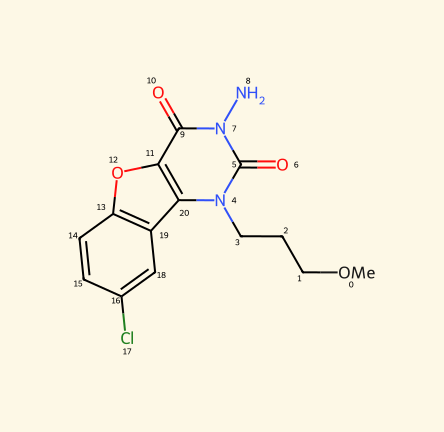 COCCCn1c(=O)n(N)c(=O)c2oc3ccc(Cl)cc3c21